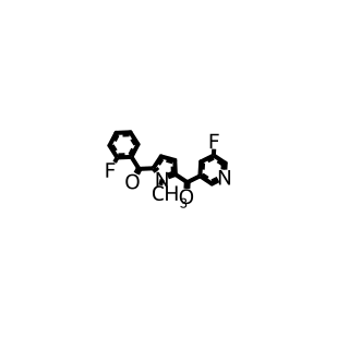 Cn1c(C(=O)c2cncc(F)c2)ccc1C(=O)c1ccccc1F